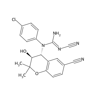 CC1(C)Oc2ccc(C#N)cc2[C@@H](N(C(N)=NC#N)c2ccc(Cl)cc2)[C@@H]1O